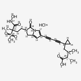 C[C@H](C(=O)O)N(C)CC1(C#CC#Cc2cc3n(c2)C(=O)N(CCC(C)(C(=O)NO)S(C)(=O)=O)C3)CC1.Cl